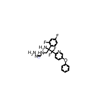 N/N=C\NCC(N)(c1ccc(F)cc1F)C(F)(F)c1ccc(Oc2ccccc2)cn1